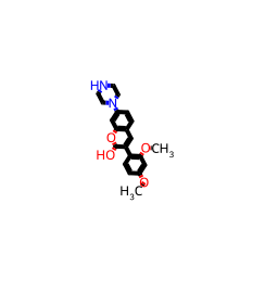 COc1ccc(C2=Cc3ccc(N4CCNCC4)cc3OC2O)c(OC)c1